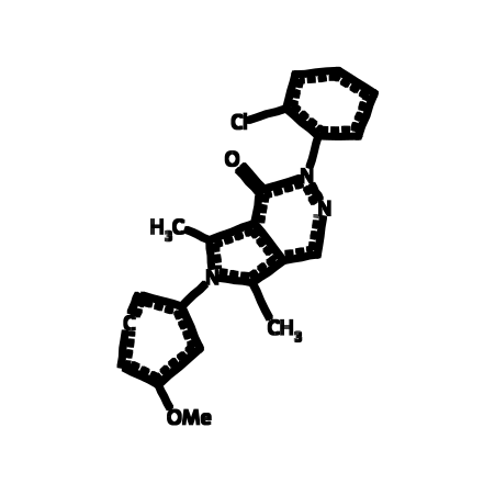 COc1cccc(-n2c(C)c3cnn(-c4ccccc4Cl)c(=O)c3c2C)c1